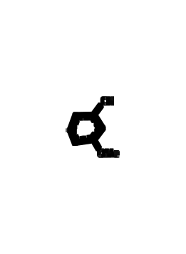 COc1c[c]cc(C#N)c1